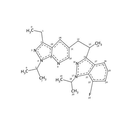 CCc1nn(C(C)C)c2ncc(CC(C)c3nn(C(C)C)c4c(F)cccc34)cc12